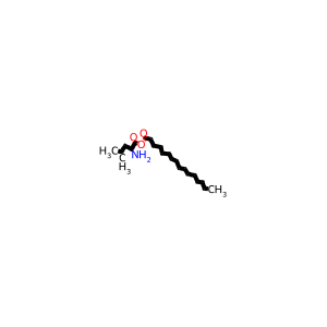 CCCCCCCCCCCCCCCC(=O)OC(=O)[C@H](N)CC(C)C